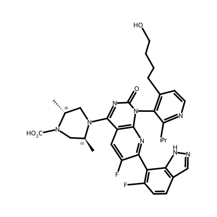 CC(C)c1nccc(CCCCO)c1-n1c(=O)nc(N2C[C@@H](C)N(C(=O)O)C[C@@H]2C)c2cc(F)c(-c3c(F)ccc4cn[nH]c34)nc21